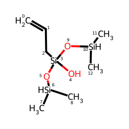 C=CC[Si](O)(O[SiH](C)C)O[SiH](C)C